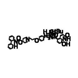 CC(C)(C)[Si](C)(C)O[C@@H](CNCCc1ccc(OCCCN2CCC(OC(=O)Nc3ccccc3-c3ccccc3)CC2)cc1)c1ccc(O)c2[nH]c(=O)ccc12